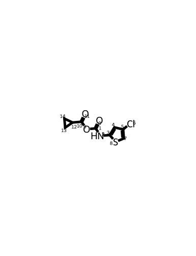 O=C(Nc1cc(Cl)cs1)OC(=O)C1CC1